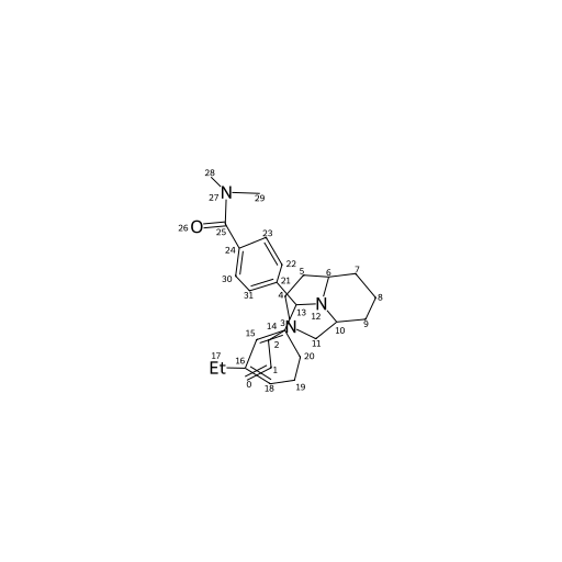 C=CCN1CCC2CCCC(C1)N2C(C1=CC(CC)=CCC1)c1ccc(C(=O)N(C)C)cc1